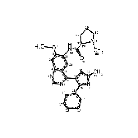 COc1cc2ncnc(-c3cn(C)nc3-c3ccccc3)c2cc1NC(=O)[C@@H]1CCCN1C